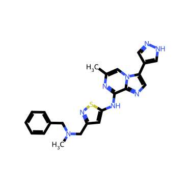 Cc1cn2c(-c3cn[nH]c3)cnc2c(Nc2cc(CN(C)Cc3ccccc3)ns2)n1